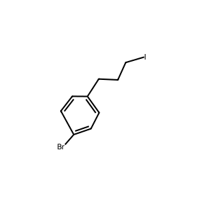 Brc1ccc(CCCI)cc1